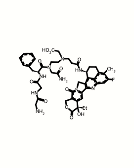 CC[C@@]1(O)C(=O)OCc2c1cc1n(c2=O)Cc2c-1nc1cc(F)c(C)c3c1c2[C@@H](NC(=O)CCN(CCN(CC(N)=O)C(=O)[C@H](Cc1ccccc1)NC(=O)CNC(=O)CN)CC(=O)O)CC3